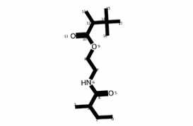 CCC(C)C(=O)NCCOC(=O)C(C)C(C)(C)C